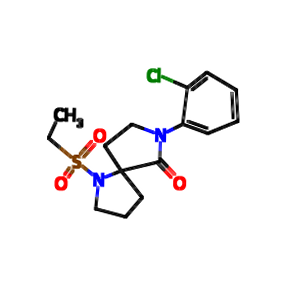 CCS(=O)(=O)N1CCCC12CCN(c1ccccc1Cl)C2=O